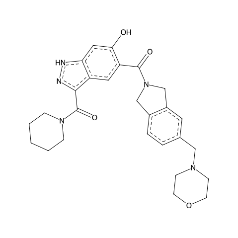 O=C(c1cc2c(C(=O)N3CCCCC3)n[nH]c2cc1O)N1Cc2ccc(CN3CCOCC3)cc2C1